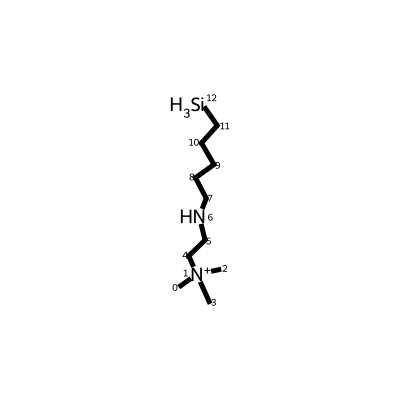 C[N+](C)(C)CCNCCCCC[SiH3]